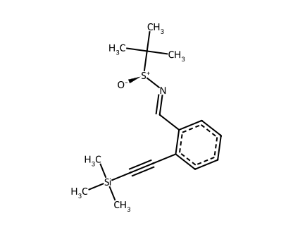 CC(C)(C)[S@+]([O-])N=Cc1ccccc1C#C[Si](C)(C)C